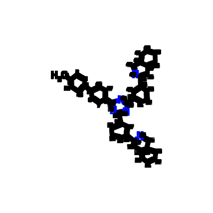 Cc1ccc(-c2ccc(-c3nc(-c4cccc(-c5cc6ccccc6cn5)c4)nc(-c4cccc(-c5cc6ccccc6cn5)c4)n3)cc2)cc1